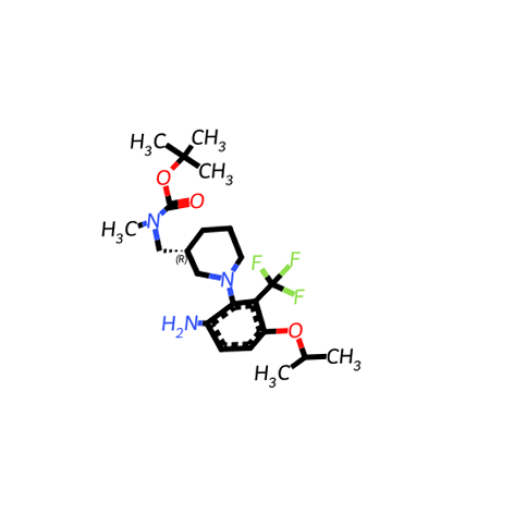 CC(C)Oc1ccc(N)c(N2CCC[C@@H](CN(C)C(=O)OC(C)(C)C)C2)c1C(F)(F)F